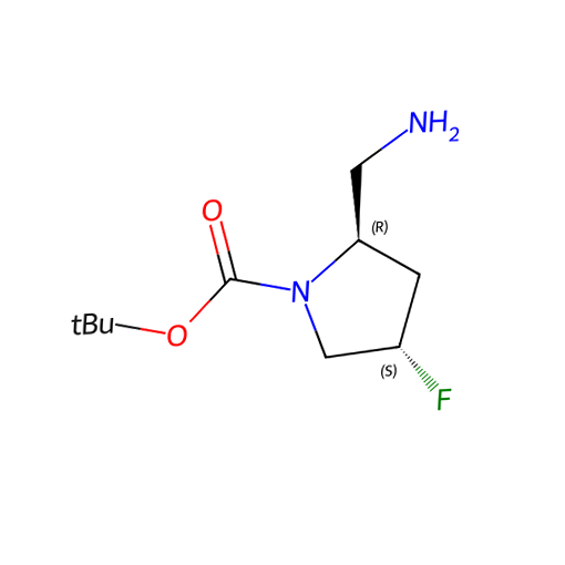 CC(C)(C)OC(=O)N1C[C@@H](F)C[C@@H]1CN